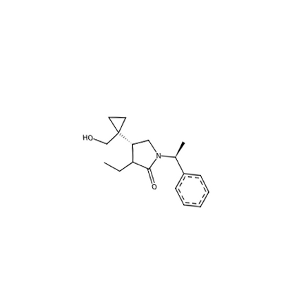 CCC1C(=O)N([C@@H](C)c2ccccc2)C[C@H]1C1(CO)CC1